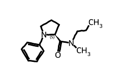 CCCN(C)C(=O)[C@@H]1CCCN1c1ccccc1